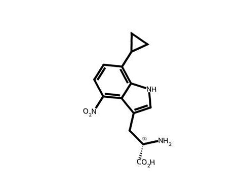 N[C@@H](Cc1c[nH]c2c(C3CC3)ccc([N+](=O)[O-])c12)C(=O)O